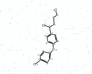 ClCCCC(Cl)c1ccc(Oc2ccc(Cl)cc2)cc1